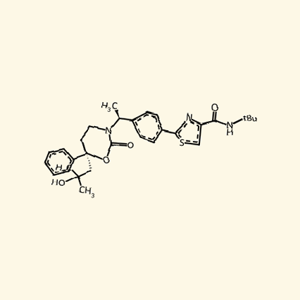 C[C@@H](c1ccc(-c2nc(C(=O)NC(C)(C)C)cs2)cc1)N1CC[C@](CC(C)(C)O)(c2ccccc2)OC1=O